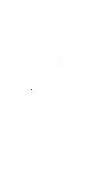 CN1C=C(c2ccccc2C(=O)O)CCC1